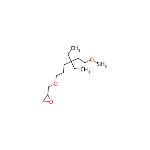 CCC(CC)(CCCOCC1CO1)CCO[SiH3]